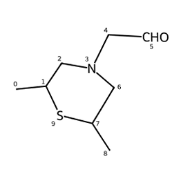 CC1CN(CC=O)CC(C)S1